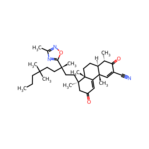 CCCC(C)(C)CC[C@@](C)(CC[C@]1(C)CC(=O)C=C2[C@@]3(C)C=C(C#N)C(=O)[C@@H](C)[C@@H]3CC[C@]21C)c1nc(C)no1